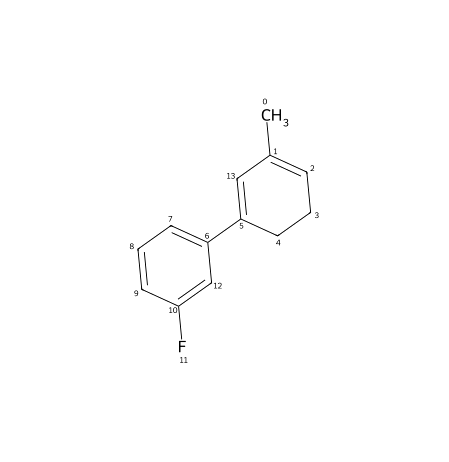 CC1=CCCC(c2cccc(F)c2)=C1